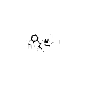 CN1C(=O)[C@@]23C[C@](C)(C#N)C(c4cccc5c4OCO5)N2C(=O)[C@]1(C)SS3